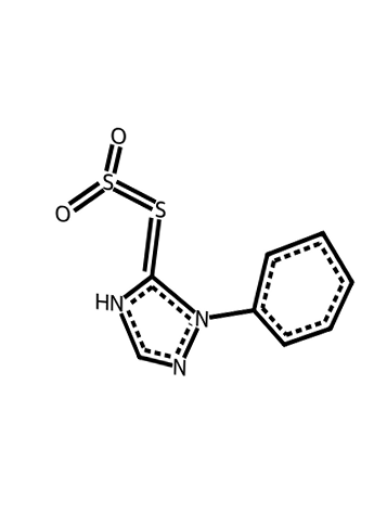 O=S(=O)=S=c1[nH]cnn1-c1ccccc1